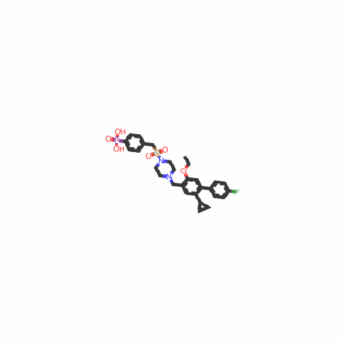 CCOc1cc(-c2ccc(F)cc2)c(C2CC2)cc1CN1CCN(S(=O)(=O)Cc2ccc(P(=O)(O)O)cc2)CC1